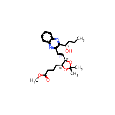 CCC[C@H](O)c1nc2ccccc2nc1/C=C/[C@H]1OC(C)(C)O[C@H]1CCCC(=O)OC